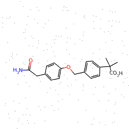 CC(C)(C(=O)O)c1ccc(COc2ccc(CC(N)=O)cc2)cc1